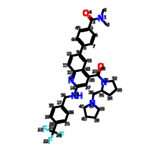 CN(C)C(=O)c1ccc(-c2ccc3nc(NCc4ccc(C(F)(F)F)cc4)cc(C(=O)N4CCC[C@H]4CN4CCCC4)c3c2)cc1